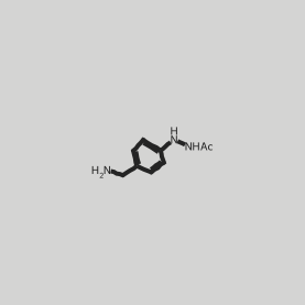 CC(=O)NNc1ccc(CN)cc1